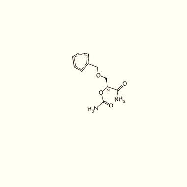 NC(=O)O[C@@H](COCc1ccccc1)C(N)=O